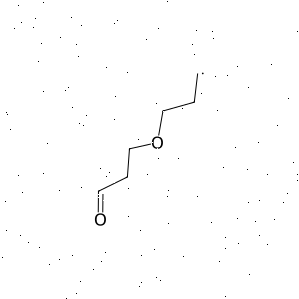 [CH2]CCOCCC=O